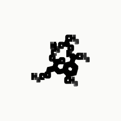 CO/C=C(\Cc1cc(C(C)=NOC(C)C)ccc1C)C(=O)OC